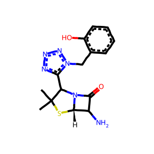 CC1(C)S[C@H]2C(N)C(=O)N2C1c1nnnn1Cc1ccccc1O